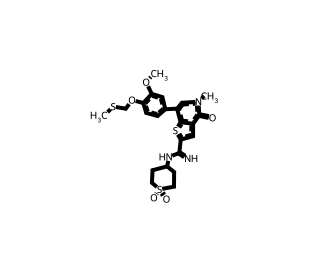 COc1cc(-c2cn(C)c(=O)c3cc(C(=N)NC4CCS(=O)(=O)CC4)sc23)ccc1OCSC